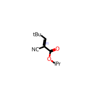 CC(C)OC(=O)/C(C#N)=C/C(C)(C)C